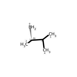 B[C@@H](C)C(C)C